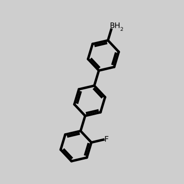 Bc1ccc(-c2ccc(-c3ccccc3F)cc2)cc1